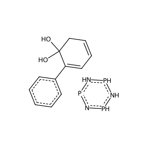 OC1(O)CC=CC=C1c1ccccc1.n1p[nH][pH][nH][pH]1